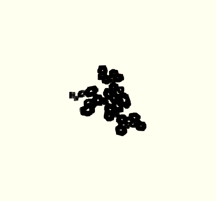 CC1C=C(c2cc(N(c3ccccc3)c3cccc4c3-c3cc(N(c5ccccc5)c5cc(-c6cccc7c6oc6ccccc67)c6sc7ccccc7c6c5)ccc3C43c4ccccc4Oc4cc(N(c5ccccc5)c5ccc6sc7ccccc7c6c5-c5ccccc5)ccc43)cc3c2oc2ccccc23)C=CC1